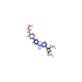 Cc1nc(C)c(-c2ccnc(Nc3ccc(N4CCC(CCCO)CC4)cc3)n2)s1